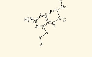 CCCc1cc(N)cc(F)c1O[C@@H](C)COC